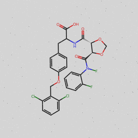 O=C(O)C(Cc1ccc(OCc2c(Cl)cccc2Cl)cc1)NC(=O)[C@@H]1OCO[C@H]1C(=O)N(F)c1ccccc1F